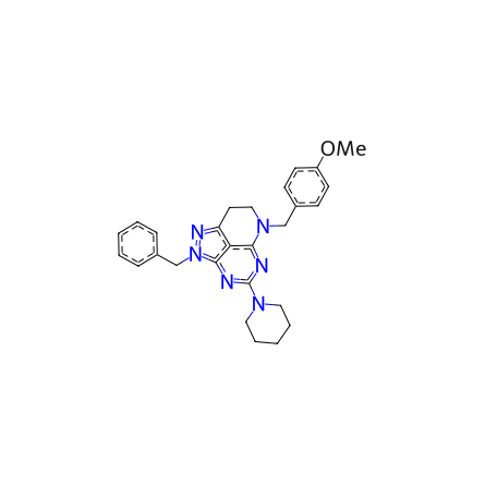 COc1ccc(CN2CCc3nn(Cc4ccccc4)c4nc(N5CCCCC5)nc2c34)cc1